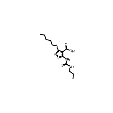 CCCCCSc1nsc(NC(=O)NCCC)c1C(=O)O